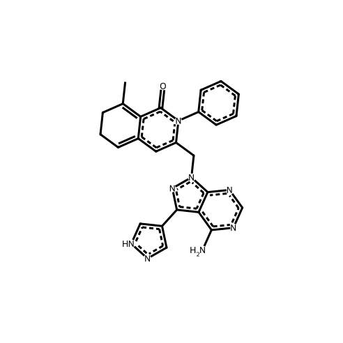 CC1=c2c(cc(Cn3nc(-c4cn[nH]c4)c4c(N)ncnc43)n(-c3ccccc3)c2=O)=CCC1